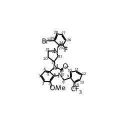 COc1cccc2c1n(Cc1ccccc1C(F)(F)F)c(=O)n2C1CCN(c2c(F)cccc2Br)C1